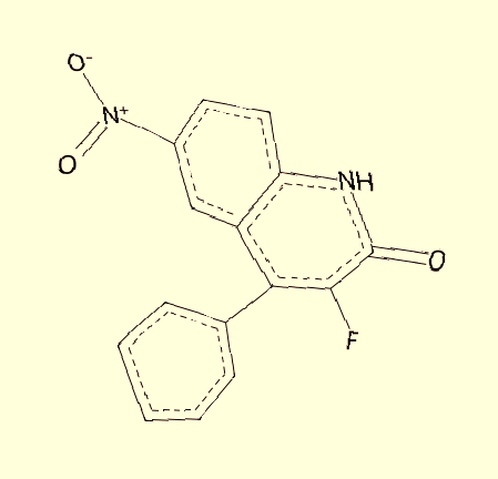 O=c1[nH]c2ccc([N+](=O)[O-])cc2c(-c2ccccc2)c1F